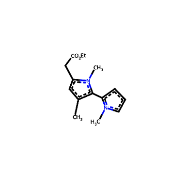 CCOC(=O)Cc1cc(C)c(-c2cccn2C)n1C